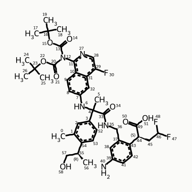 Cc1cc(C(C)(Nc2ccc3c(N(C(=O)OC(C)(C)C)C(=O)OC(C)(C)C)ncc(F)c3c2)C(=O)NCc2cc(N)ccc2[C@H](CC(F)F)C(=O)O)ccc1[C@@H](C)CO